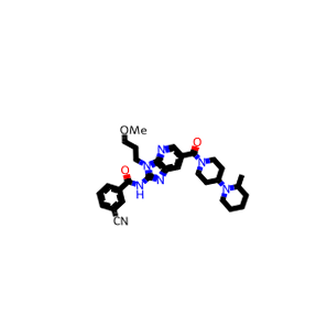 COCCCn1c(NC(=O)c2cccc(C#N)c2)nc2cc(C(=O)N3CCC(N4CCCCC4C)CC3)cnc21